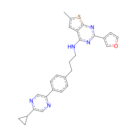 Cc1cc2c(NCCCc3ccc(-c4cnc(C5CC5)cn4)cc3)nc(-c3ccoc3)nc2s1